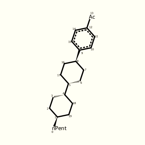 CCCCC[C@H]1CC[C@H]([C@H]2CC[C@H](c3ccc(C(C)=O)cc3)CC2)CC1